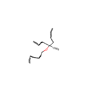 C=CCCOC(CC=C)(CC=C)OC